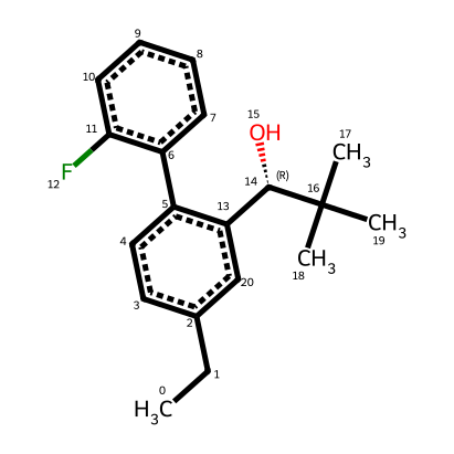 CCc1ccc(-c2ccccc2F)c([C@H](O)C(C)(C)C)c1